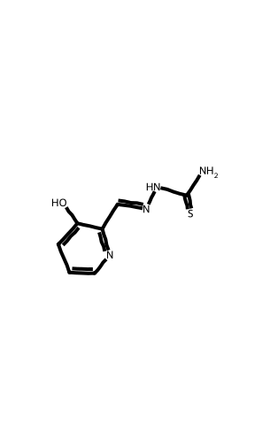 NC(=S)N/N=C/c1ncccc1O